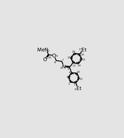 CCc1ccc(C(=NCCOC(=O)NC)c2ccc(CC)cc2)cc1